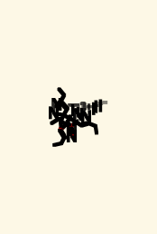 CCC1=CC(CC)([C]([Ti+3])(C2(CC)C=C(CC)N=N2)C2(CC)C=C(CC)N=N2)N=N1.[I-].[I-].[I-]